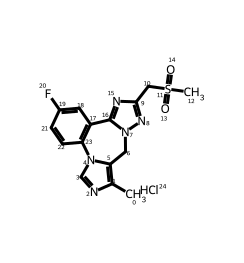 Cc1ncn2c1Cn1nc(CS(C)(=O)=O)nc1-c1cc(F)ccc1-2.Cl